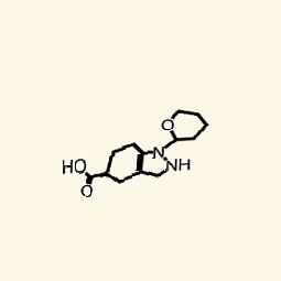 O=C(O)C1CCC2=C(CNN2C2CCCCO2)C1